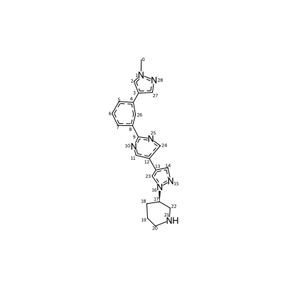 Cn1cc(-c2cccc(-c3ncc(-c4cnn([C@@H]5CCCNC5)c4)cn3)c2)cn1